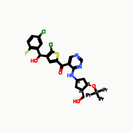 CC(C)[Si](O[C@H]1C[C@H](Nc2ncncc2C(=O)c2cc(C(O)c3cc(Cl)ccc3F)c(Cl)s2)C[C@@H]1CO)(C(C)C)C(C)C